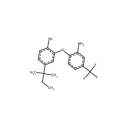 CCC(C)(C)c1ccc(S)c(Oc2ccc(C(F)(F)F)cc2N)c1